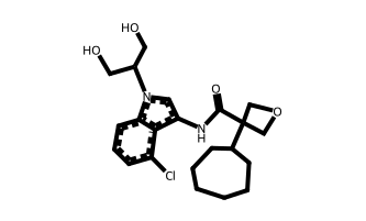 O=C(Nc1cn(C(CO)CO)c2cccc(Cl)c12)C1(C2CCCCCC2)COC1